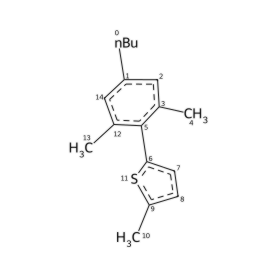 CCCCc1cc(C)c(-c2ccc(C)s2)c(C)c1